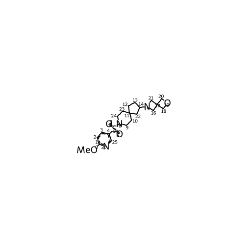 COc1ccc(S(=O)(=O)N2CCC3(CCC(N4CC5(COC5)C4)C3)CC2)cn1